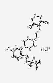 Cl.O=C1CCCC(=O)N1CCCN1CCN(c2cc(F)ccc2OCC(F)(F)C(F)F)CC1